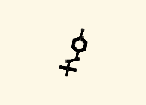 CS(=O)(=O)NNc1cc[n+]([O-])cc1